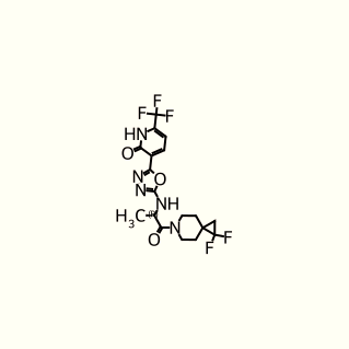 C[C@@H](Nc1nnc(-c2ccc(C(F)(F)F)[nH]c2=O)o1)C(=O)N1CCC2(CC1)CC2(F)F